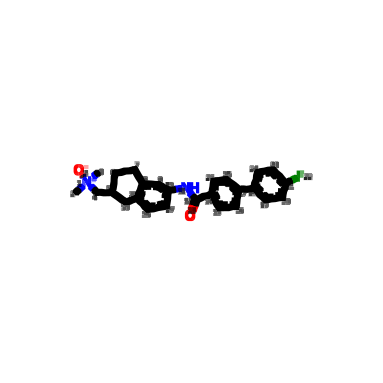 C[N+](C)([O-])CC1CCc2cc(NC(=O)c3ccc(-c4ccc(F)cc4)cc3)ccc2C1